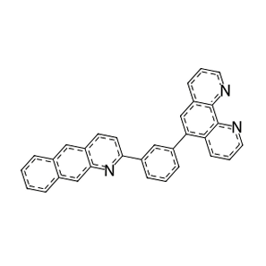 c1cc(-c2ccc3cc4ccccc4cc3n2)cc(-c2cc3cccnc3c3ncccc23)c1